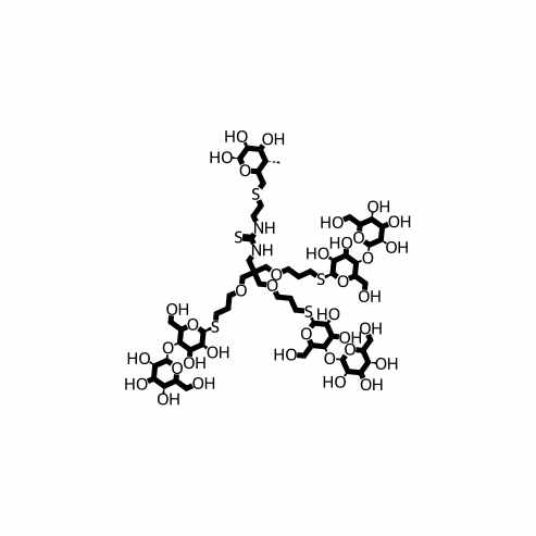 C[C@@H]1C(CSCCNC(=S)NCC(COCCCS[C@@H]2OC(CO)[C@@H](O[C@@H]3OC(CO)[C@H](O)C(O)[C@@H]3O)C(O)[C@@H]2O)(COCCCS[C@@H]2OC(CO)[C@@H](O[C@@H]3OC(CO)[C@H](O)C(O)[C@@H]3O)C(O)[C@@H]2O)COCCCS[C@@H]2OC(CO)[C@@H](O[C@@H]3OC(CO)[C@H](O)C(O)[C@@H]3O)C(O)[C@@H]2O)O[C@H](O)[C@@H](O)C1O